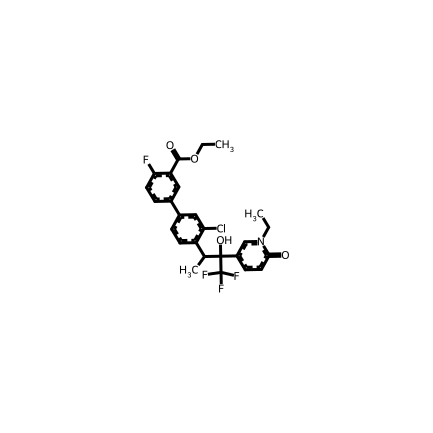 CCOC(=O)c1cc(-c2ccc(C(C)C(O)(c3ccc(=O)n(CC)c3)C(F)(F)F)c(Cl)c2)ccc1F